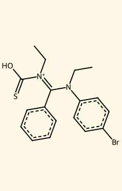 CCN(C(c1ccccc1)=[N+](CC)C(O)=S)c1ccc(Br)cc1